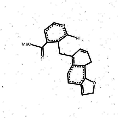 COC(=O)c1ccnc(N)c1CC1=c2ccc3c(c2CC=C1)OCC=3